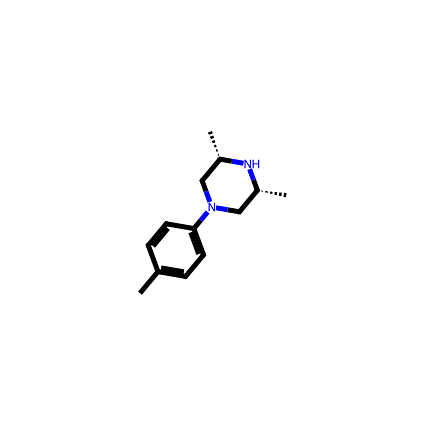 Cc1ccc(N2C[C@@H](C)N[C@@H](C)C2)cc1